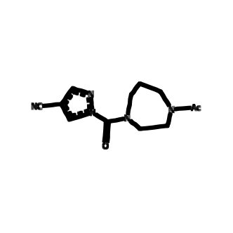 CC(=O)N1CCCN(C(=O)n2cc(C#N)cn2)CC1